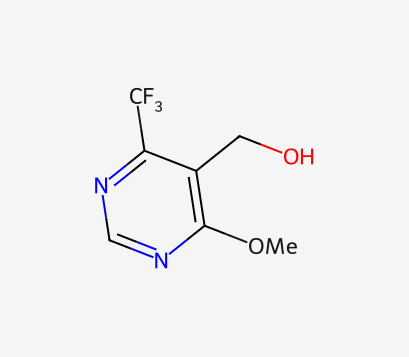 COc1ncnc(C(F)(F)F)c1CO